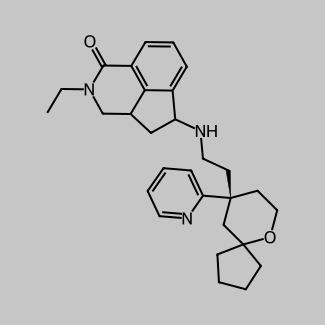 CCN1CC2CC(NCC[C@@]3(c4ccccn4)CCOC4(CCCC4)C3)c3cccc(c32)C1=O